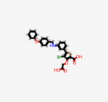 O=C(O)COc1c(C(=O)O)sc(-c2cccc(NCc3ccc(Oc4ccccc4)cc3)c2)c1Br